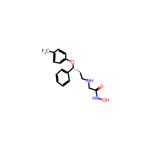 O=C(CNCC[C@@H](Oc1ccc(C(F)(F)F)cc1)c1ccccc1)NO